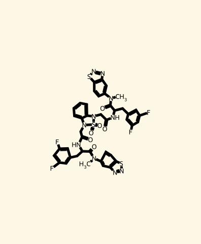 CN(C(=O)C(Cc1cc(F)cc(F)c1)NC(=O)CN1c2ccccc2N(CC(=O)NC(Cc2cc(F)cc(F)c2)C(=O)N(C)c2ccc3snnc3c2)S1(=O)=O)c1ccc2snnc2c1